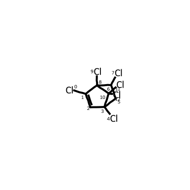 ClC1=CC2(Cl)CC(Cl)C1(Cl)C2(Cl)Cl